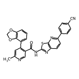 Cc1cc(-c2cccc3c2OCO3)c(C(=O)Nc2nc3ccc(-c4ccc(C#N)cc4)nc3s2)cn1